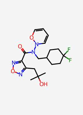 CC(C)(O)Cc1nonc1C(=O)N(CC1CCC(F)(F)CC1)N1C=CC=CO1